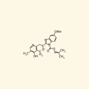 COc1ccc2c(c1)nc([S+]([O-])Cc1ncc(C)c(O)c1C)n2C(=O)ON=C(C)C